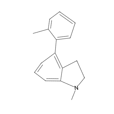 Cc1ccccc1-c1cccc2c1CCN2C